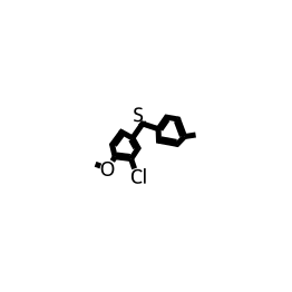 COc1ccc(C(=S)c2ccc(C)cc2)cc1Cl